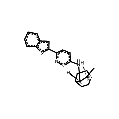 C[C@@H]1[C@@H](Nc2ccc(-c3cc4ccccc4s3)nn2)C2CCN1CC2